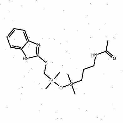 CC(=O)NCCC[Si](C)(C)O[Si](C)(C)CSc1nc2ccccc2[nH]1